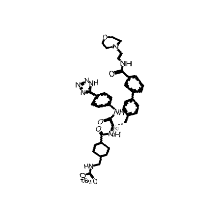 CC(C)(C)OC(=O)NCC1CCC(C(=O)N[C@@H](Cc2ccc(-c3cccc(C(=O)NCCN4CCOCC4)c3)cc2)C(=O)Nc2ccc(-c3nnn[nH]3)cc2)CC1